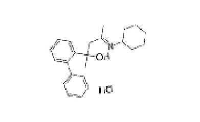 CC(CC(C)(O)c1ccccc1-c1ccccc1)=NC1CCCCC1.Cl